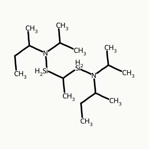 CCC(C)N([SiH2]C(C)[SiH2]N(C(C)C)C(C)CC)C(C)C